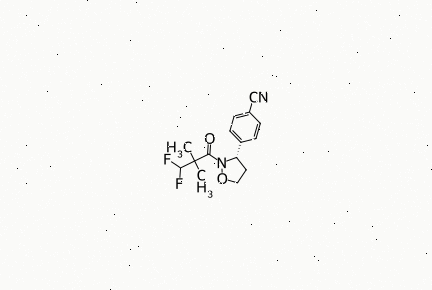 CC(C)(C(=O)N1OCC[C@H]1c1ccc(C#N)cc1)C(F)F